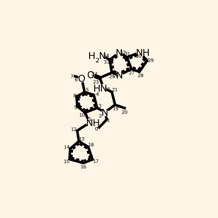 CCN(c1cc(OC)ccc1NCc1ccccc1)C(C)CNC(=O)c1nc2cc[nH]c2nc1N